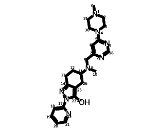 CN1CCN(c2cc(CN(C)C3CCc4nn(-c5ccccn5)c(O)c4C3)ncn2)CC1